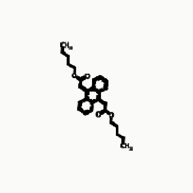 CCCCCOC(=O)C=c1c2ccccc2c(=CC(=O)OCCCCC)c2ccccc12